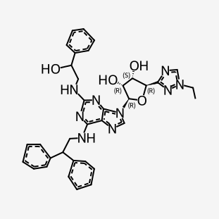 CCn1cnc([C@H]2O[C@@H](n3cnc4c(NCC(c5ccccc5)c5ccccc5)nc(NCC(O)c5ccccc5)nc43)[C@H](O)[C@@H]2O)n1